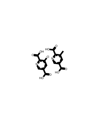 Cc1cc(C(=O)O)cnc1C(=O)O.O=C(O)c1cnc(C(=O)O)c(Cl)c1